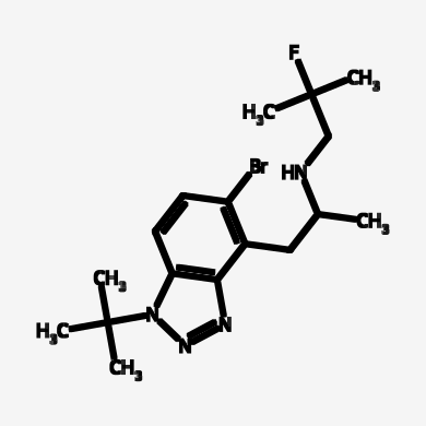 CC(Cc1c(Br)ccc2c1nnn2C(C)(C)C)NCC(C)(C)F